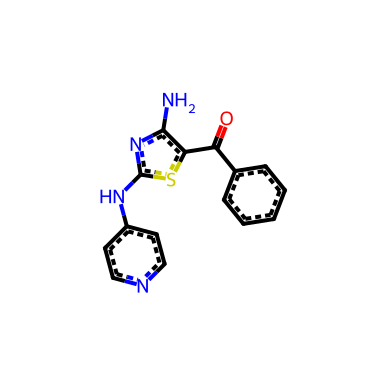 Nc1nc(Nc2ccncc2)sc1C(=O)c1ccccc1